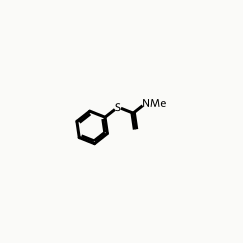 C=C(NC)SC1=C=C=CC=C1